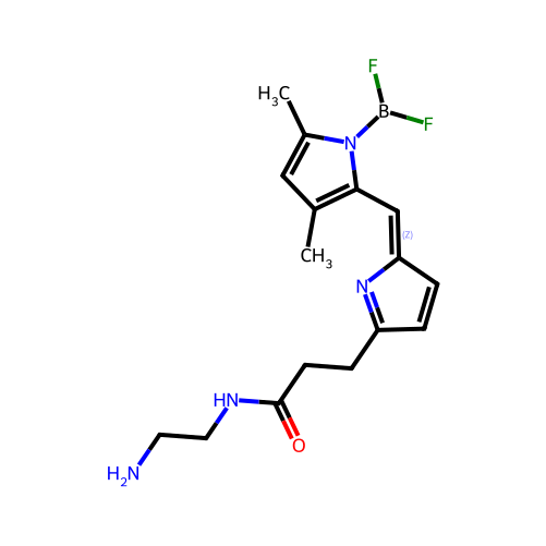 Cc1cc(C)n(B(F)F)c1/C=C1/C=CC(CCC(=O)NCCN)=N1